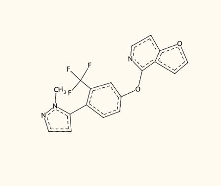 Cn1nccc1-c1ccc(Oc2nccc3occc23)cc1C(F)(F)F